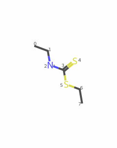 CC[N]C(=S)SCC